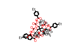 C=C[SiH](C=C)C(OC(=O)OOC(=O)c1ccc(CC)cc1)C(C(OC(=O)OOC(=O)c1ccc(CC)cc1)[SiH](C=C)C=C)(C(OC(=O)OOC(=O)c1ccc(CC)cc1)[SiH](C=C)C=C)C(OC(=O)OOC(=O)c1ccc(CC)cc1)[SiH](C=C)C=C